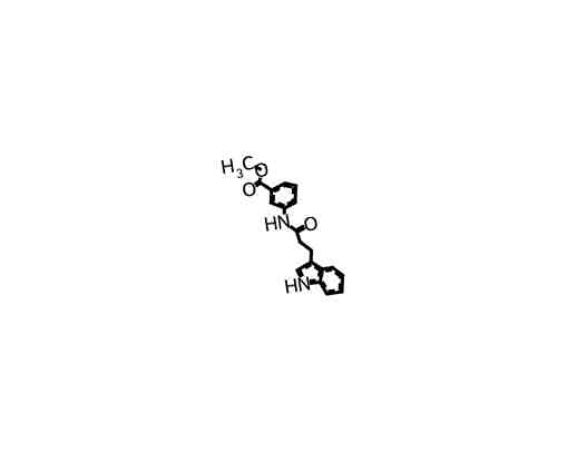 COC(=O)c1cccc(NC(=O)CCc2c[nH]c3ccccc23)c1